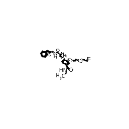 CCNC(=O)c1ccc(-n2cc(C(=O)NCc3cc4ccccc4s3)nn2)c(OCCOCCF)c1